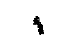 CNc1ccc(-c2ccc(Oc3nc4c(cnn4C(C)C)c(=O)n3C)cc2)cn1